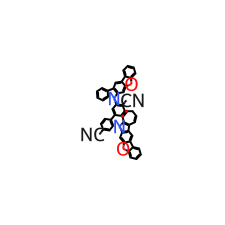 N#CC1=C(n2c3ccccc3c3cc4c(cc32)oc2ccccc24)C=C(c2ccc(C#N)cc2-n2c3c(c4cc5c(cc42)oc2ccccc25)C=CCC#C3)CC1